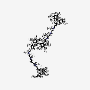 C=CC(C)(CC/C=C(\C)CC/C=C(\C)CC/C=C(/C)COC1OC(C)C(O)C(OC2OC(COC3OC(C)C(O)C(O)C3OC(=O)/C(C)=C/C(O)C/C(C)=C/CC/C(C)=C/CCC(C)(C=C)OC3OC(CO)C(O)C(O)C3OC3OC(CO)C(O)C(O)C3O)C(O)C(O)C2O)C1O)OC1OC(CO)C(O)C(O)C1OC1OC(CO)C(O)C(O)C1O